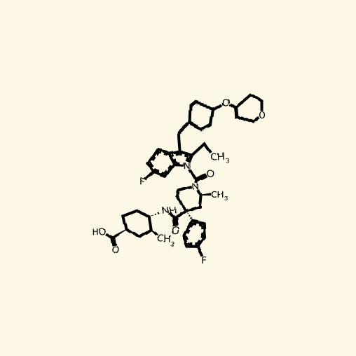 CCc1c(CC2CCC(OC3CCOCC3)CC2)c2ccc(F)cc2n1C(=O)N1CC[C@@](C(=O)N[C@H]2CC[C@H](C(=O)O)C[C@@H]2C)(c2ccc(F)cc2)C[C@@H]1C